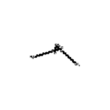 CCCCCCCCCCCCOC(=O)c1cc(C)cc(C(=O)OCCCCCCCCCCCC)c1